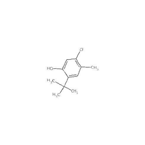 Cc1cc(C(C)(C)C)c(O)cc1Cl